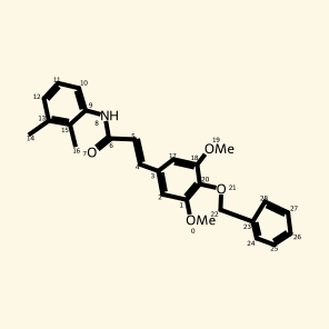 COc1cc(C=CC(=O)Nc2cccc(C)c2C)cc(OC)c1OCc1ccccc1